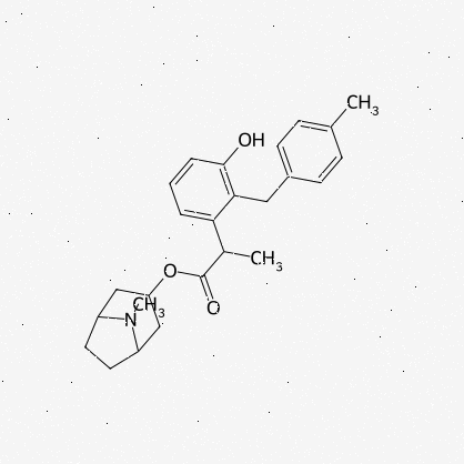 Cc1ccc(Cc2c(O)cccc2C(C)C(=O)OC2CC3CCC(C2)N3C)cc1